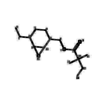 CCC1CCC(COC(=O)C(C)(C)CC)C2OC12